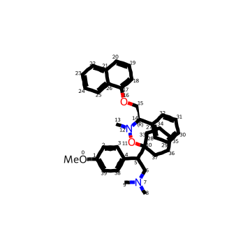 COc1ccc(C(CN(C)C)C2(ON(C)[C@@H](COc3cccc4ccccc34)c3ccccc3)CCCCC2)cc1